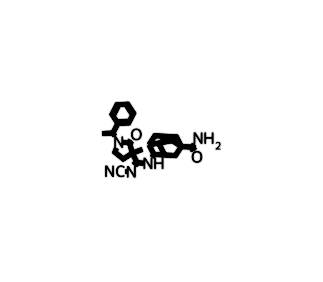 CC(c1ccccc1)N1CCC(C)(/C(=N\C#N)NC2C3CC4CC2CC(C(N)=O)(C4)C3)C1=O